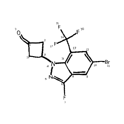 O=C1CC(n2nc(F)c3cc(Br)cc(C(F)(F)F)c32)C1